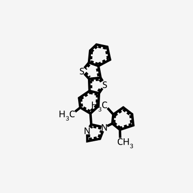 Cc1cc2c(cc1-c1nccn1-c1c(C)cccc1C)sc1c3ccccc3sc21